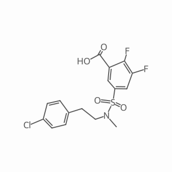 CN(CCc1ccc(Cl)cc1)S(=O)(=O)c1cc(F)c(F)c(C(=O)O)c1